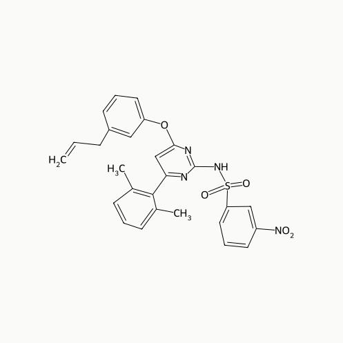 C=CCc1cccc(Oc2cc(-c3c(C)cccc3C)nc(NS(=O)(=O)c3cccc([N+](=O)[O-])c3)n2)c1